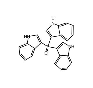 O=P(c1c[nH]c2ccccc12)(c1c[nH]c2ccccc12)c1c[nH]c2ccccc12